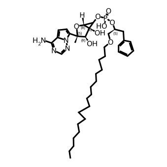 CCCCCCCCCCCCCCCCCCOC[C@H](Cc1ccccc1)OP(=O)(O)OC1[C@H]2O[C@@](C)(c3ccc4c(N)ncnn34)[C@H](O)[C@@]12O